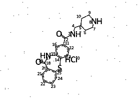 Cl.O=C(NCC1CCNCC1)c1ccc2c(c1)NC(=O)c1ccccc1S2